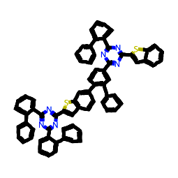 c1ccc(-c2cc(-c3nc(-c4cc5ccccc5s4)nc(-c4ccccc4-c4ccccc4)n3)ccc2-c2ccc3cc(-c4nc(-c5ccccc5-c5ccccc5)nc(-c5ccccc5-c5ccccc5)n4)sc3c2)cc1